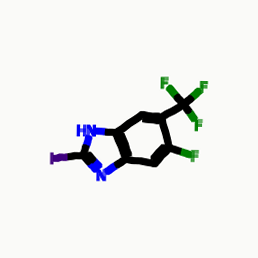 Fc1cc2nc(I)[nH]c2cc1C(F)(F)F